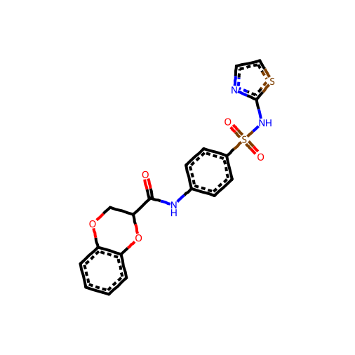 O=C(Nc1ccc(S(=O)(=O)Nc2nccs2)cc1)C1COc2ccccc2O1